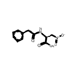 O=C(Cc1ccccc1)N[C@@H](C[N+](=O)[O-])C(=O)O